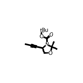 CC#CC1COC(C)(C)N1C(=O)OC(C)(C)C